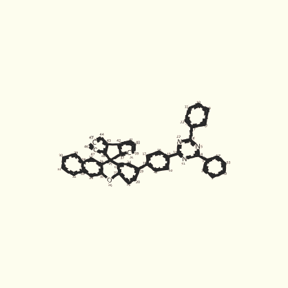 c1ccc(-c2nc(-c3ccccc3)nc(-c3ccc(-c4ccc5c(c4)C4(c6cc7ccccc7cc6O5)c5ccccc5-c5ccccc54)cc3)n2)cc1